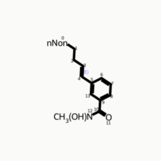 CCCCCCCCCCC/C=C/c1cccc(C(=O)N(C)O)c1